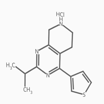 CC(C)c1nc2c(c(-c3ccsc3)n1)CCNC2.Cl